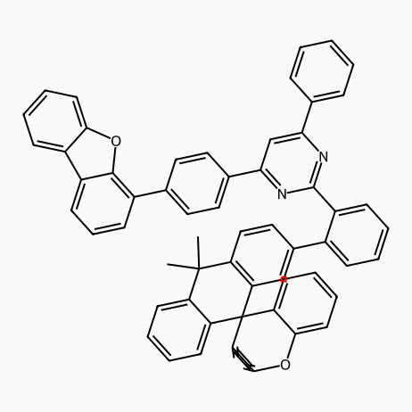 CC1(C)c2ccccc2C2(c3ccccc3Oc3ccccc32)c2cc(-c3ccccc3-c3nc(-c4ccccc4)cc(-c4ccc(-c5cccc6c5oc5ccccc56)cc4)n3)ccc21